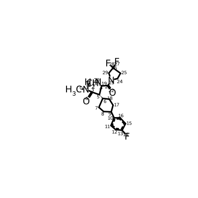 CN(C)C(=O)[C@@H](C1CCC(c2ccc(F)cc2)CC1)[C@H](N)C(=O)N1CCC(F)(F)C1